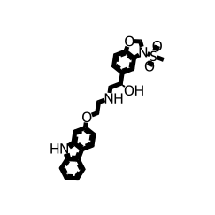 CS(=O)(=O)N1COc2ccc([C@H](O)CNCCOc3ccc4c(c3)[nH]c3ccccc34)cc21